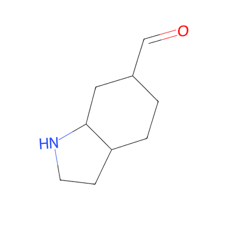 O=CC1CCC2CCNC2C1